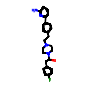 Nc1cccc(-c2ccc(CCN3CCN(C(=O)Cc4ccc(F)cc4)CC3)cc2)n1